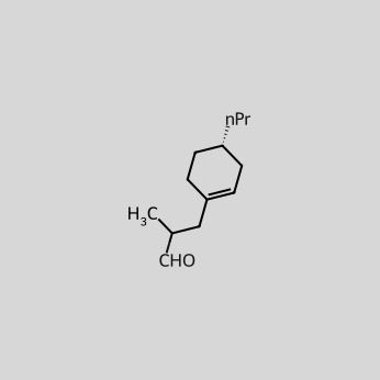 CCC[C@@H]1CC=C(CC(C)C=O)CC1